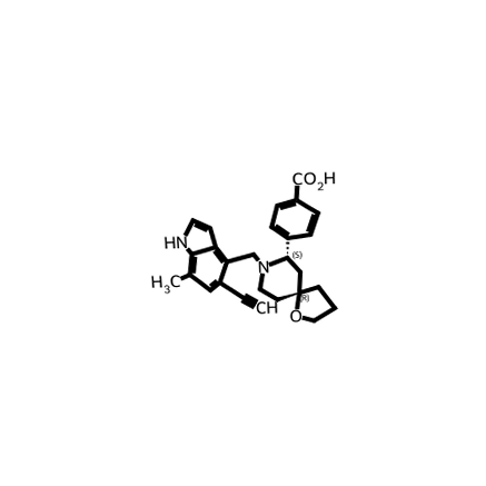 C#Cc1cc(C)c2[nH]ccc2c1CN1CC[C@]2(CCCO2)C[C@H]1c1ccc(C(=O)O)cc1